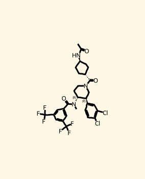 CC(=O)N[C@H]1CC[C@H](C(=O)N2CC[C@@H](N(C)C(=O)c3cc(C(F)(F)F)cc(C(F)(F)F)c3)[C@H](c3ccc(Cl)c(Cl)c3)C2)CC1